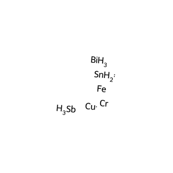 [BiH3].[Cr].[Cu].[Fe].[SbH3].[SnH2]